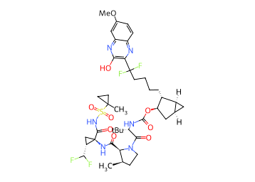 COc1ccc2nc(C(F)(F)CCCC[C@@H]3[C@H]4C[C@H]4C[C@H]3OC(=O)N[C@H](C(=O)N3CC[C@@H](C)[C@H]3C(=O)N[C@]3(C(=O)NS(=O)(=O)C4(C)CC4)C[C@H]3C(F)F)C(C)(C)C)c(O)nc2c1